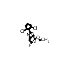 CCOc1nc(F)cc2nc(-c3c(Cl)cccc3Cl)nn12